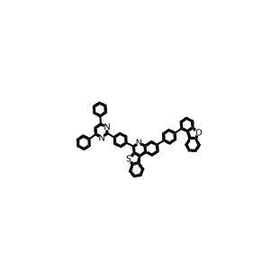 c1ccc(-c2cc(-c3ccccc3)nc(-c3ccc(-c4nc5cc(-c6ccc(-c7cccc8oc9ccccc9c78)cc6)ccc5c5c4sc4ccccc45)cc3)n2)cc1